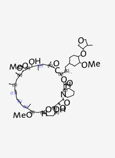 COC1CC(C[C@H](C)[C@@H]2CC(=O)[C@H](C)/C=C(\C)C(O)[C@@H](OC)C(=O)[C@H](C)C[C@H](C)/C=C/C=C/C=C(\C)[C@@H](OC)C[C@@H]3CC[C@@H](C)[C@@](O)(O3)C(=O)C(=O)N3CCCC[C@H]3C(=O)O2)CCC1OC1COCC1C